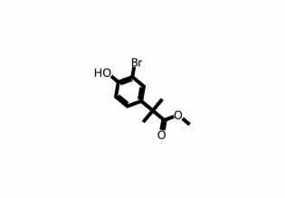 COC(=O)C(C)(C)c1ccc(O)c(Br)c1